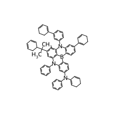 CC(C)(c1cc2c3c(c1)N(c1ccccc1)c1cc(N(C4=CCCC=C4)c4ccccc4)ccc1B3c1ccc(C3=CCCC=C3)cc1N2c1cccc(C2=CC=CCC2)c1)C1C=CC=CC1